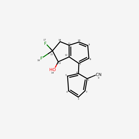 N#Cc1ccccc1-c1cccc2c1C(O)C(F)(F)C2